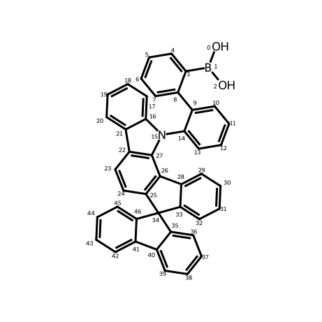 OB(O)c1ccccc1-c1ccccc1-n1c2ccccc2c2ccc3c(c21)-c1ccccc1C31c2ccccc2-c2ccccc21